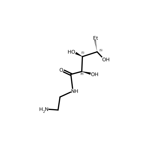 CC[C@H](O)[C@H](O)[C@@H](O)C(=O)NCCN